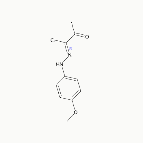 COc1ccc(N/N=C(\Cl)C(C)=O)cc1